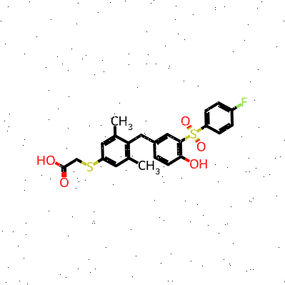 Cc1cc(SCC(=O)O)cc(C)c1Cc1ccc(O)c(S(=O)(=O)c2ccc(F)cc2)c1